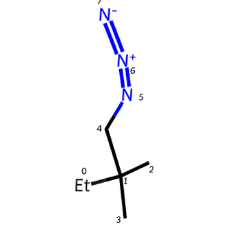 [CH2]CC(C)(C)CN=[N+]=[N-]